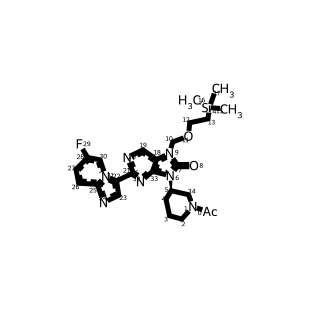 CC(=O)N1CCC[C@@H](n2c(=O)n(COCC[Si](C)(C)C)c3cnc(-c4cnc5ccc(F)cn45)nc32)C1